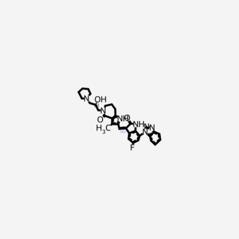 Cc1c(/C=C2\C(=O)Nc3c2cc(F)cc3-n2nnc3ccccc32)[nH]c2c1C(=O)N(C[C@@H](O)CN1CCCCC1)CCC2